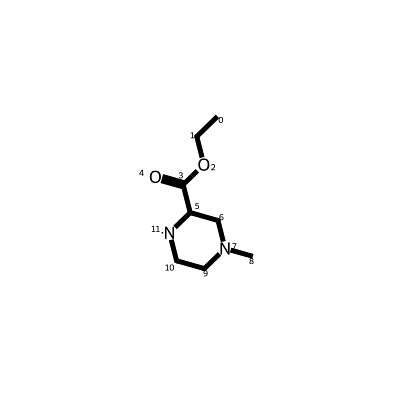 CCOC(=O)C1CN(C)CC[N]1